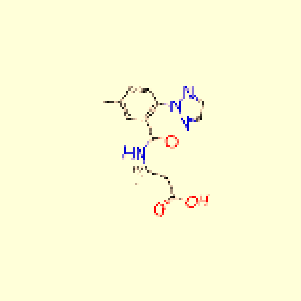 Cc1ccc(-n2nccn2)c(C(=O)N[C@@H](C)CC(=O)O)c1